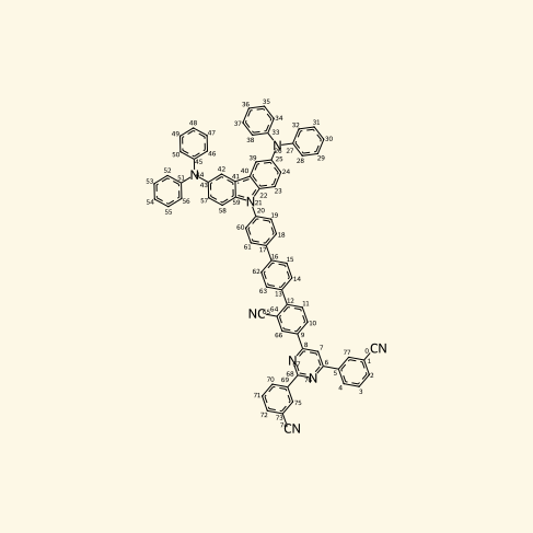 N#Cc1cccc(-c2cc(-c3ccc(-c4ccc(-c5ccc(-n6c7ccc(N(c8ccccc8)c8ccccc8)cc7c7cc(N(c8ccccc8)c8ccccc8)ccc76)cc5)cc4)c(C#N)c3)nc(-c3cccc(C#N)c3)n2)c1